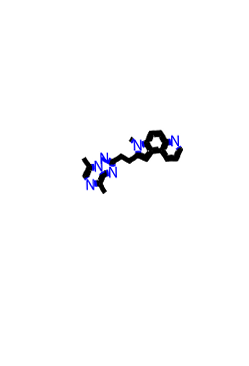 Cc1ncc(C)n2nc(CCc3cc4c5cccnc5ccc4n3C)nc12